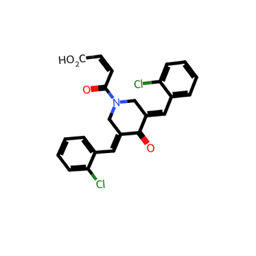 O=C(O)/C=C\C(=O)N1C/C(=C\c2ccccc2Cl)C(=O)/C(=C/c2ccccc2Cl)C1